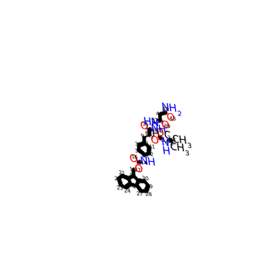 CC(C)(C)NC(=O)O[C@@H](Cc1ccc(NC(=O)OCC2c3ccccc3-c3ccccc32)cc1)C(=O)NNC(=O)CC(N)=O